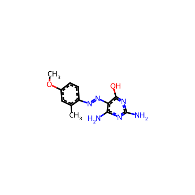 COc1ccc(/N=N/c2c(N)nc(N)nc2O)c(C)c1